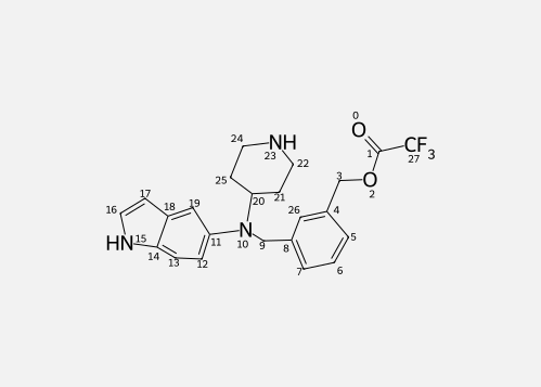 O=C(OCc1cccc(CN(c2ccc3[nH]ccc3c2)C2CCNCC2)c1)C(F)(F)F